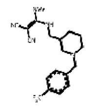 CNC(NCC1CCCN(Cc2ccc(C(F)(F)F)cc2)C1)=C(C#N)C#N